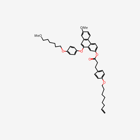 C=CCCCCCCOc1ccc(CCC(=O)Oc2ccc3c(c2)c(Oc2ccc(OCCCCCCOC)cc2)cc2cc(OC)ccc23)cc1